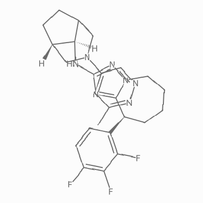 Cc1cc(N2CC3CC[C@@H](C2)[C@@H]3Nc2nc3n(n2)CCCC[C@H]3c2ccc(F)c(F)c2F)cnn1